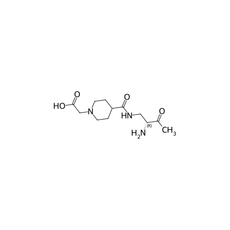 CC(=O)[C@H](N)CNC(=O)C1CCN(CC(=O)O)CC1